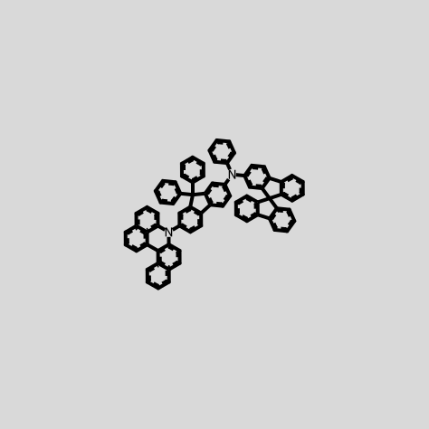 c1ccc(N(c2ccc3c(c2)C(c2ccccc2)(c2ccccc2)c2cc(N4c5ccc6ccccc6c5-c5cccc6cccc4c56)ccc2-3)c2ccc3c(c2)C2(c4ccccc4-c4ccccc42)c2ccccc2-3)cc1